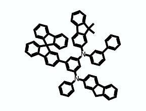 CC1(C)c2ccccc2-c2ccc(N(c3cccc(-c4ccccc4)c3)c3cc(-c4ccc5c(c4)C4(c6ccccc6-c6ccccc64)c4ccccc4-5)cc(N(c4ccccc4)c4ccc5c(c4)Cc4ccccc4-5)c3)cc21